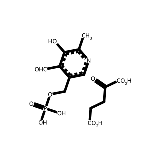 Cc1ncc(COP(=O)(O)O)c(C=O)c1O.O=C(O)CCC(=O)C(=O)O